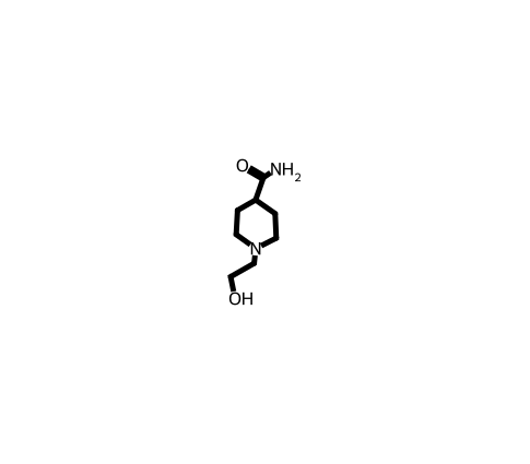 NC(=O)C1CCN(CCO)CC1